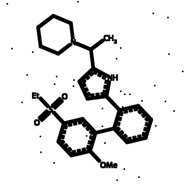 CCS(=O)(=O)c1ccc(OC)c(-c2ccccc2-c2ccc(C(C)N3CCCCC3)[nH]2)c1